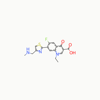 CCn1cc(C(=O)O)c(=O)c2cc(F)c(-c3nc(CNC)cs3)cc21